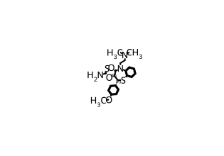 COc1ccc([C@H]2Sc3ccccc3N(CCN(C)C)C(=O)[C@H]2OC(N)=S)cc1